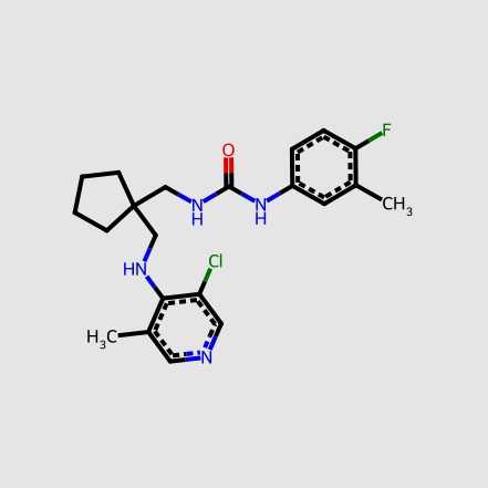 Cc1cc(NC(=O)NCC2(CNc3c(C)cncc3Cl)CCCC2)ccc1F